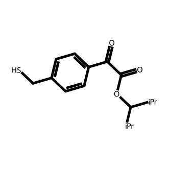 CC(C)C(OC(=O)C(=O)c1ccc(CS)cc1)C(C)C